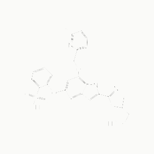 CS(=O)(=O)c1ccccc1Oc1cc(OCc2cccc(Cl)n2)c2[nH]c(C3=NCC(CC(=O)O)S3)cc2c1